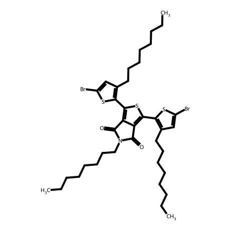 CCCCCCCCc1cc(Br)sc1-c1sc(-c2sc(Br)cc2CCCCCCCC)c2c1C(=O)N(CCCCCCCC)C2=O